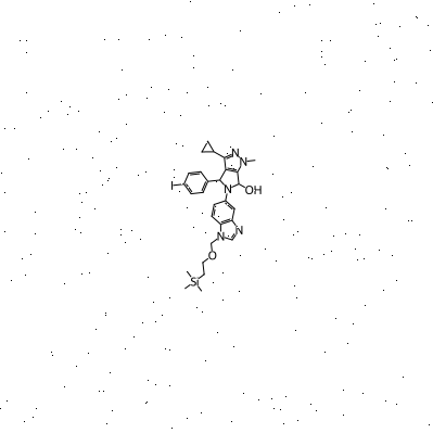 Cn1nc(C2CC2)c2c1C(O)N(c1ccc3c(c1)ncn3COCC[Si](C)(C)C)C2c1ccc(I)cc1